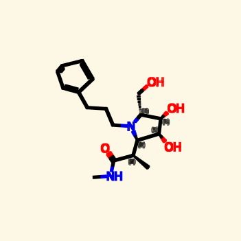 CNC(=O)[C@H](C)[C@@H]1[C@H](O)[C@H](O)[C@@H](CO)N1CCCc1ccccc1